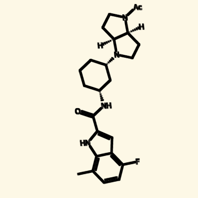 CC(=O)N1CC[C@H]2[C@@H]1CCN2[C@H]1CCC[C@@H](NC(=O)c2cc3c(F)ccc(C)c3[nH]2)C1